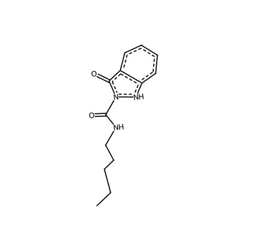 CCCCCNC(=O)n1[nH]c2ccccc2c1=O